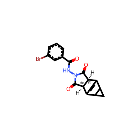 O=C(NN1C(=O)[C@@H]2C3C=CC(C4CC43)[C@@H]2C1=O)c1cccc(Br)c1